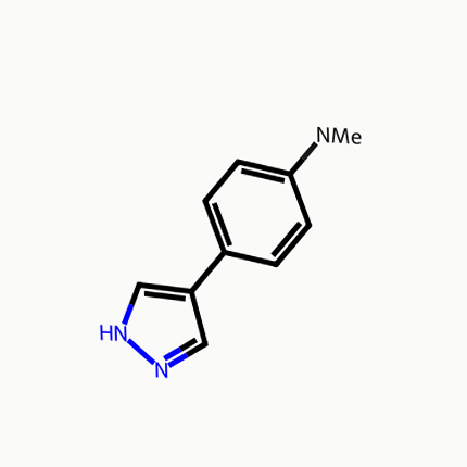 CNc1ccc(-c2cn[nH]c2)cc1